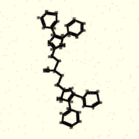 OC(CSc1nc(-c2ccccc2)c(-c2ccccc2)[nH]1)CSc1nc(-c2ccccc2)c(-c2ccccc2)[nH]1